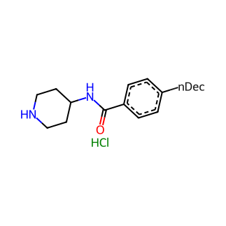 CCCCCCCCCCc1ccc(C(=O)NC2CCNCC2)cc1.Cl